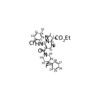 CCOC(=O)c1cnn2c(Nc3cc(C)ccc3Cl)c(C(=O)N3CCC(F)(c4ccccc4)CC3)cnc12